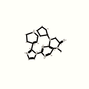 CN1C(=O)CN(C2CCCC2)c2nc(-n3ccnc3C3=CCOCC3)ncc21